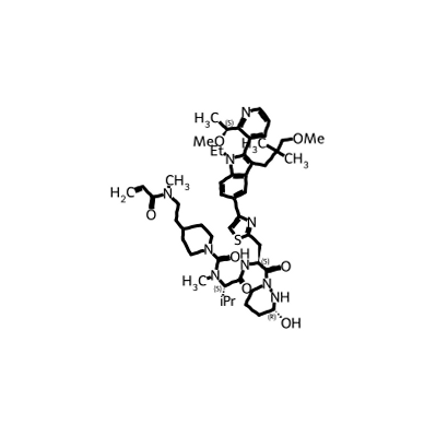 C=CC(=O)N(C)CCC1CCN(C(=O)N(C)[C@H](C(=O)N[C@@H](Cc2nc(-c3ccc4c(c3)c(CC(C)(C)COC)c(-c3cccnc3[C@H](C)OC)n4CC)cs2)C(=O)N2CCC[C@@H](O)N2)C(C)C)CC1